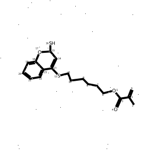 C=C(C)C(=O)OCCCCCCSC1=CC(S)Oc2ccccc21